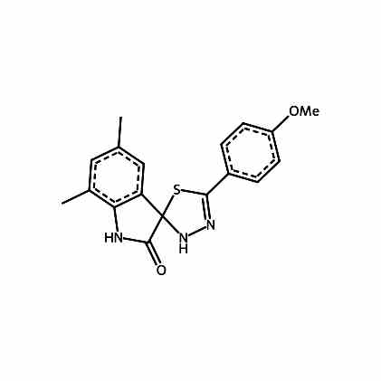 COc1ccc(C2=NNC3(S2)C(=O)Nc2c(C)cc(C)cc23)cc1